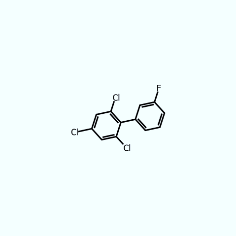 Fc1cccc(-c2c(Cl)cc(Cl)cc2Cl)c1